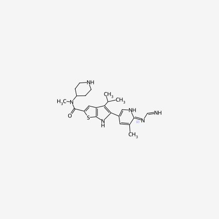 Cc1cc(-c2[nH]c3sc(C(=O)N(C)C4CCNCC4)cc3c2C(C)C)c[nH]/c1=N\C=N